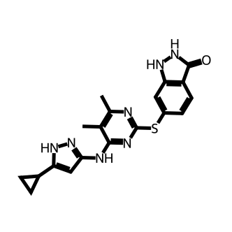 Cc1nc(Sc2ccc3c(=O)[nH][nH]c3c2)nc(Nc2cc(C3CC3)[nH]n2)c1C